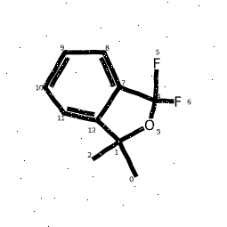 CC1(C)OC(F)(F)c2ccccc21